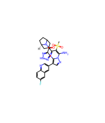 CS(=O)(=O)c1c(C2CC3CC[C@H](C2)N3C(=O)c2cn[nH]n2)nc2c(-c3cnc4ccc(F)cc4c3)cnn2c1N